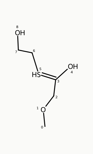 COCC(O)=[SH]CCO